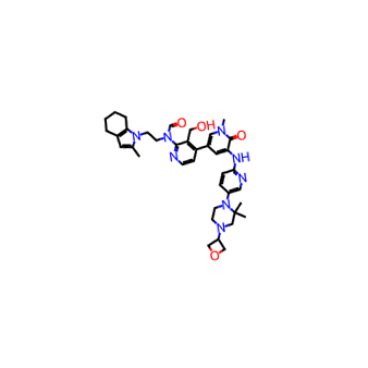 Cc1cc2c(n1CCN(C=O)c1nccc(-c3cc(Nc4ccc(N5CCN(C6COC6)CC5(C)C)cn4)c(=O)n(C)c3)c1CO)CCCC2